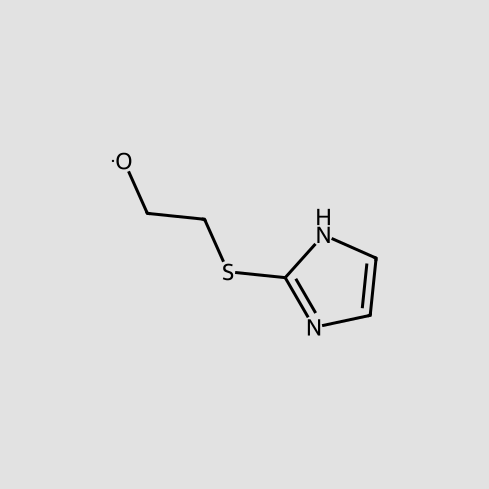 [O]CCSc1ncc[nH]1